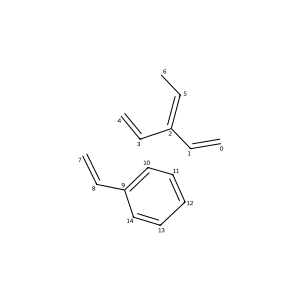 C=CC(C=C)=CC.C=Cc1ccccc1